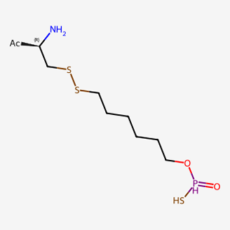 CC(=O)[C@@H](N)CSSCCCCCCO[PH](=O)S